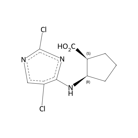 O=C(O)[C@H]1CCC[C@H]1Nc1nc(Cl)ncc1Cl